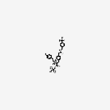 O=C(Cc1ccc(CC(C(=O)OCC(Cl)(Cl)Cl)S(=O)(=O)CCc2ccc(F)cc2)cc1)OCc1ccc(C(F)(F)F)cc1